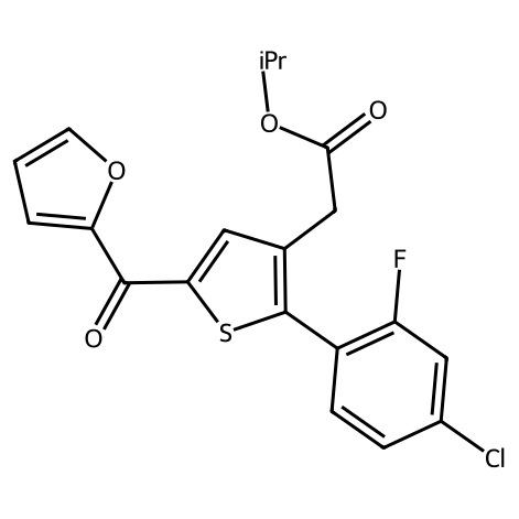 CC(C)OC(=O)Cc1cc(C(=O)c2ccco2)sc1-c1ccc(Cl)cc1F